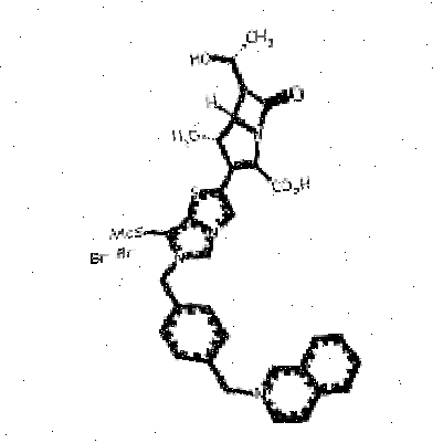 CSc1c2sc(C3=C(C(=O)O)N4C(=O)[C@H]([C@@H](C)O)[C@H]4[C@H]3C)c[n+]2cn1Cc1ccc(C[n+]2ccc3ccccc3c2)cc1.[Br-].[Br-]